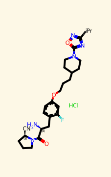 CC(C)c1noc(N2CCC(CCCOc3ccc(C[C@H](N)C(=O)N4CCC[C@H]4C#N)c(F)c3)CC2)n1.Cl